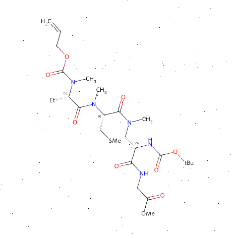 C=CCOC(=O)N(C)[C@@H](CC)C(=O)N(C)[C@@H](CSC)C(=O)N(C)C[C@H](NC(=O)OC(C)(C)C)C(=O)NCC(=O)OC